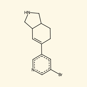 Brc1cncc(C2=CC3CNCC3CC2)c1